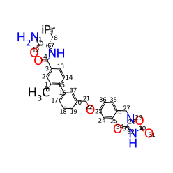 Cc1cc(C(=O)N[C@@H](CC(C)C)C(N)=O)ccc1-c1cccc(COc2ccc(Cn3oc(=O)[nH]c3=O)cc2)c1